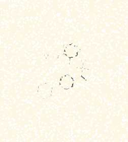 C=C(c1ccc(C2CCCCC2)cc1)C(C)(C)Oc1ncnc(NC)c1C